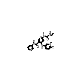 CCNC(=O)Nc1cc(Nc2ccc(=O)n(C)c2)c(C(=O)Nc2cccnc2)cn1